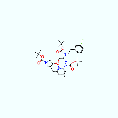 Cc1cc(C[C@@H]2CN(C(=O)OC(C)(C)C)C[C@H]2OCCN(CCc2cccc(F)c2)C(=O)OC(C)(C)C)nc(NC(=O)OC(C)(C)C)c1